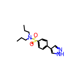 CCCN(CCC)S(=O)(=O)c1ccc(-c2cn[nH]c2)cc1